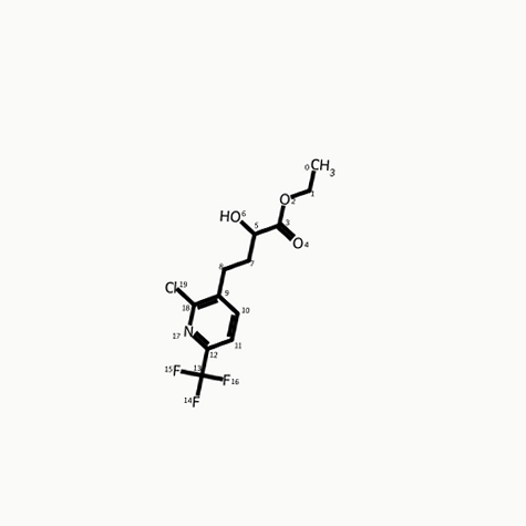 CCOC(=O)C(O)CCc1ccc(C(F)(F)F)nc1Cl